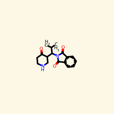 CC(C)C(C1CNCCC1=O)N1C(=O)c2ccccc2C1=O